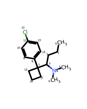 CCCC(N(C)C)C1(c2ccc(Cl)cc2)CCC1